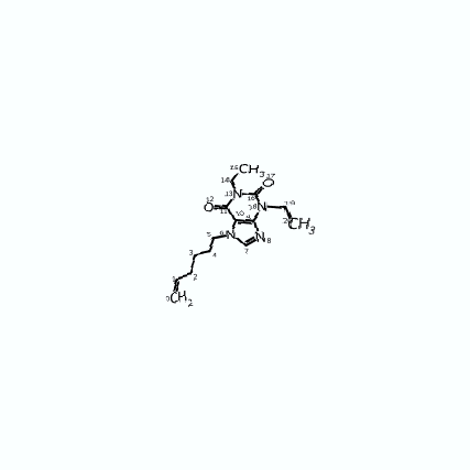 C=CCCCCn1cnc2c1c(=O)n(CC)c(=O)n2CC